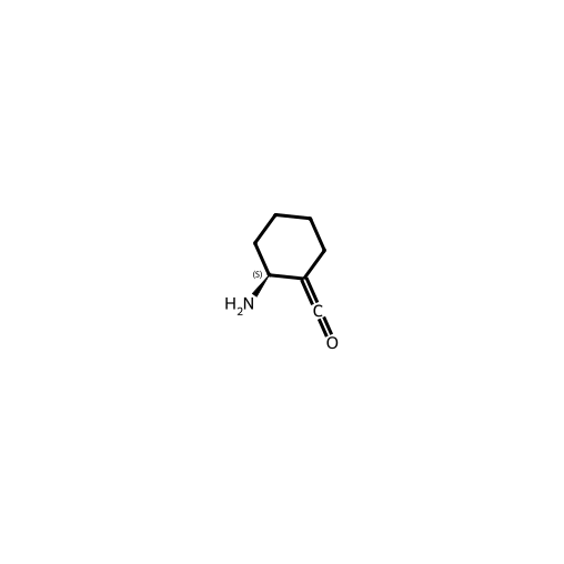 N[C@H]1CCCCC1=C=O